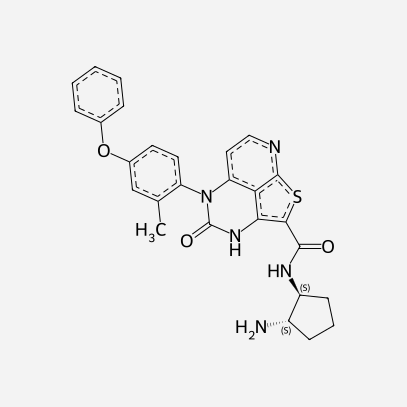 Cc1cc(Oc2ccccc2)ccc1N1C(=O)Nc2c(C(=O)N[C@H]3CCC[C@@H]3N)sc3nccc1c23